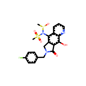 C[S+]([O-])N(c1c2c(c(O)c3ncccc13)C(=O)N(Cc1ccc(F)cc1)C2)S(C)(=O)=O